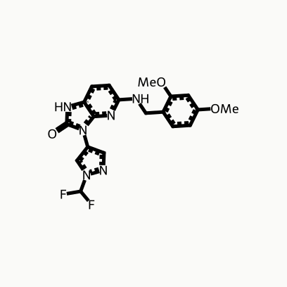 COc1ccc(CNc2ccc3[nH]c(=O)n(-c4cnn(C(F)F)c4)c3n2)c(OC)c1